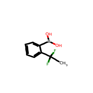 CC(F)(F)c1ccccc1B(O)O